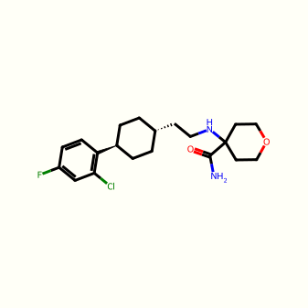 NC(=O)C1(NCC[C@H]2CC[C@H](c3ccc(F)cc3Cl)CC2)CCOCC1